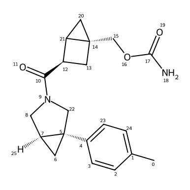 Cc1ccc([C@]23C[C@H]2CN(C(=O)[C@@H]2C[C@]4(COC(N)=O)CC24)C3)cc1